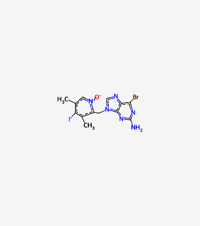 Cc1c[n+]([O-])c(Cn2cnc3c(Br)nc(N)nc32)c(C)c1I